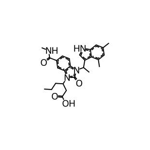 CCCC(CC(=O)O)n1c(=O)n(C(C)c2c[nH]c3cc(C)cc(C)c23)c2ccc(C(=O)NC)cc21